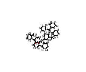 CC1(C)c2ccccc2C(=C(c2ccccc2)c2ccccc2)c2ccc(N(c3ccc4c(c3)oc3ccccc34)c3ccccc3-c3ccccc3)cc21